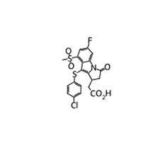 CS(=O)(=O)c1cc(F)cc2c1c(Sc1ccc(Cl)cc1)c1n2C(=O)CC1CC(=O)O